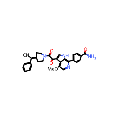 [C-]#[N+]C(=C1CCN(C(=O)C(=O)c2c[nH]c3c(-c4ccc(C(N)=O)cc4)ncc(OC)c23)CC1)c1ccccc1